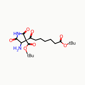 CC(C)(C)OC(=O)CCCCCC(=O)[C@]1(C(=O)OC(C)(C)C)C(=O)NC(=O)C1N